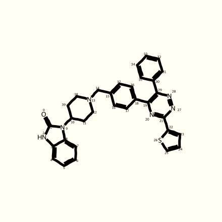 O=c1[nH]c2ccccc2n1C1CCN(Cc2ccc(-c3nc(-c4cccs4)nnc3-c3ccccc3)cc2)CC1